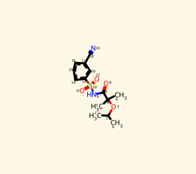 CC(C)OC(C)(C)C(=O)NS(=O)(=O)c1cccc(C#N)c1